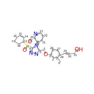 Cc1cc(OCc2nnc(S(=O)(=O)C3C=CCCC3)n2-c2cccnc2)ccc1C#CCO